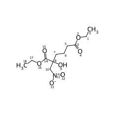 CCOC(=O)CCCC(O)(C[N+](=O)[O-])C(=O)OCC